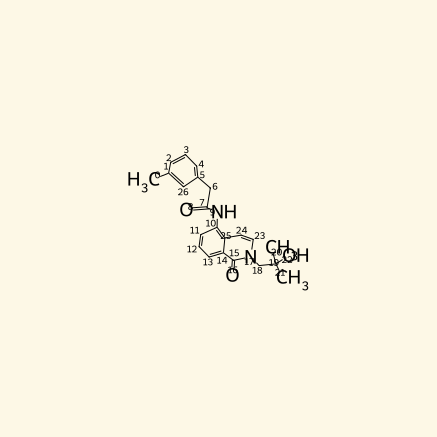 Cc1cccc(CC(=O)Nc2cccc3c(=O)n(CC(C)(C)O)ccc23)c1